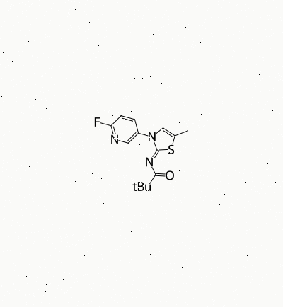 Cc1cn(-c2ccc(F)nc2)c(=NC(=O)C(C)(C)C)s1